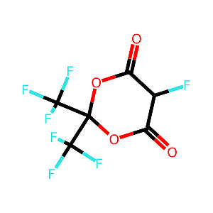 O=C1OC(C(F)(F)F)(C(F)(F)F)OC(=O)C1F